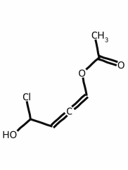 CC(=O)OC=C=CC(O)Cl